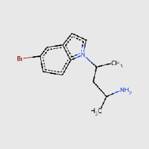 CC(N)CC(C)n1ccc2cc(Br)ccc21